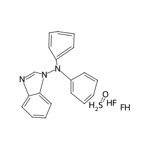 F.F.O=[SH2].c1ccc(N(c2ccccc2)n2cnc3ccccc32)cc1